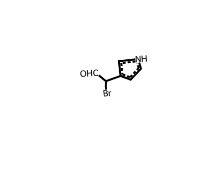 O=CC(Br)c1cc[nH]c1